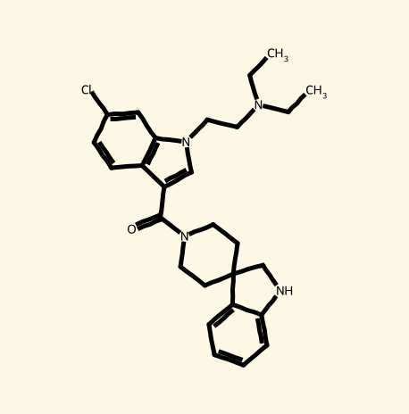 CCN(CC)CCn1cc(C(=O)N2CCC3(CC2)CNc2ccccc23)c2ccc(Cl)cc21